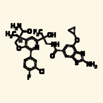 C[C@]1(C(N)=O)COc2c1cc(C(O)(CNC(=O)c1cc(OC3CC3)c3nc(N)sc3c1)C(F)(F)F)nc2-c1ccc(F)c(Cl)c1